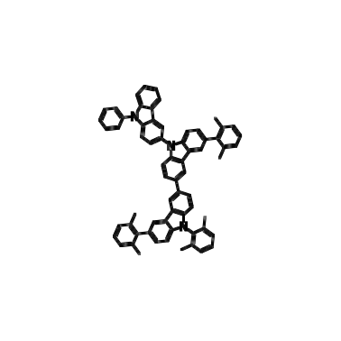 Cc1cccc(C)c1-c1ccc2c(c1)c1cc(-c3ccc4c(c3)c3cc(-c5c(C)cccc5C)ccc3n4-c3c(C)cccc3C)ccc1n2-c1ccc2c(c1)c1ccccc1n2-c1ccccc1